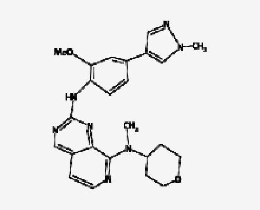 COc1cc(-c2cnn(C)c2)ccc1Nc1ncc2ccnc(N(C)C3CCOCC3)c2n1